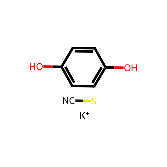 N#C[S-].Oc1ccc(O)cc1.[K+]